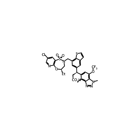 CC[C@@H]1CN(Cc2cc([C@H](CC(=O)O)c3cc(OC(F)(F)F)c4c(nnn4C)c3C)cc3ccsc23)S(=O)(=O)c2cc(Cl)cnc2O1